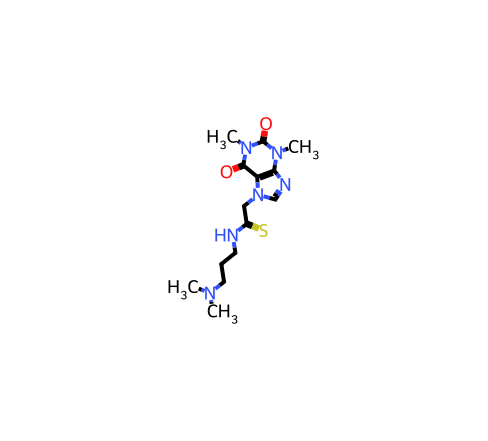 CN(C)CCCNC(=S)Cn1cnc2c1c(=O)n(C)c(=O)n2C